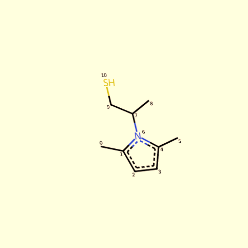 Cc1ccc(C)n1C(C)CS